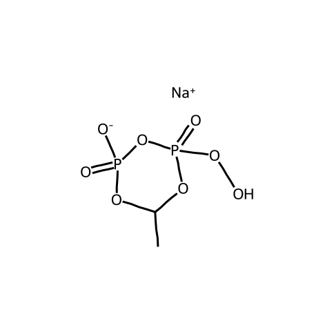 CC1OP(=O)([O-])OP(=O)(OO)O1.[Na+]